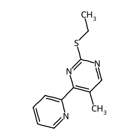 CCSc1ncc(C)c(-c2ccccn2)n1